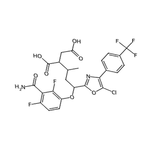 CC(CC(Oc1ccc(F)c(C(N)=O)c1F)c1nc(-c2ccc(C(F)(F)F)cc2)c(Cl)o1)C(CC(=O)O)C(=O)O